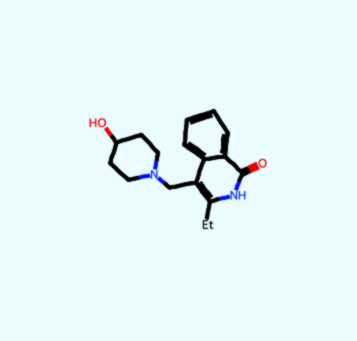 CCc1[nH]c(=O)c2ccccc2c1CN1CCC(O)CC1